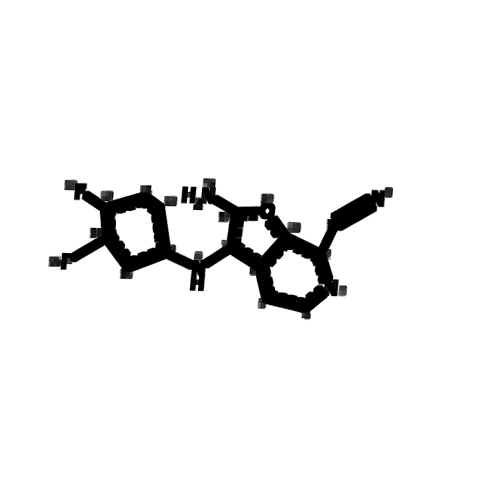 N#Cc1nccc2c(Nc3ccc(F)c(F)c3)c(N)oc12